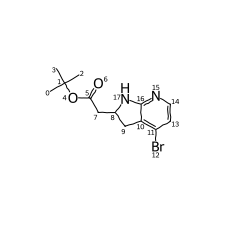 CC(C)(C)OC(=O)CC1Cc2c(Br)ccnc2N1